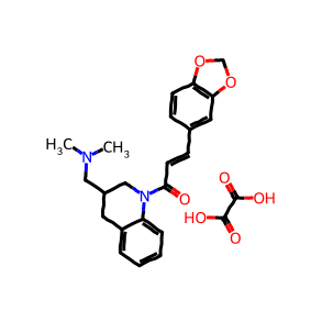 CN(C)CC1Cc2ccccc2N(C(=O)C=Cc2ccc3c(c2)OCO3)C1.O=C(O)C(=O)O